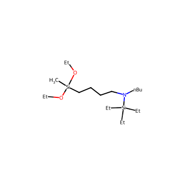 CCCCN(CCCC[Si](C)(OCC)OCC)[Si](CC)(CC)CC